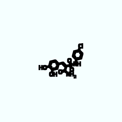 NC(=O)/C(=C\c1ccc(O)c(O)c1)S(=O)(=O)Nc1ccc(Cl)cc1